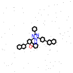 c1ccc(C2=NC(c3ccc(-c4ccc5ccccc5c4)c4oc5ccccc5c34)NC(c3ccc(-c4ccc5ccccc5c4)cc3)=N2)cc1